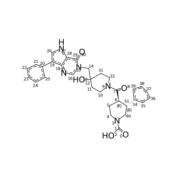 O=C(O)N1CC[C@@H](C(=O)N2CCC(O)(Cn3cnc4c(-c5ccccc5)c[nH]c4c3=O)CC2)[C@H](c2ccccc2)C1